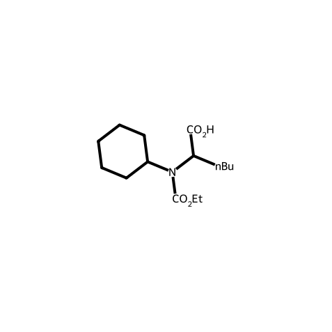 CCCCC(C(=O)O)N(C(=O)OCC)C1CCCCC1